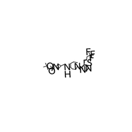 CC(C)(C)OC(=O)N1CC(CNC2CCCN(c3ncnc4sc(CC(F)(F)F)cc34)CC2)C1